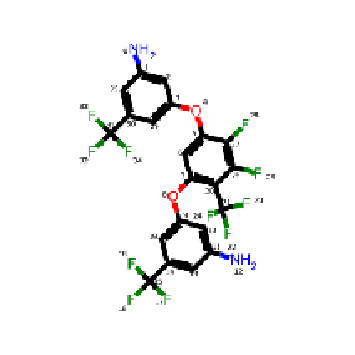 Nc1cc(Oc2cc(Oc3cc(N)cc(C(F)(F)F)c3)c(C(F)(F)F)c(F)c2F)cc(C(F)(F)F)c1